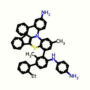 CCc1ccccc1-c1ccc(Nc2ccc(N)cc2)c(-c2cc(C)cc3c2SC2=C(Cc4ccccc42)N3c2ccc(N)cc2-c2ccccc2)c1C